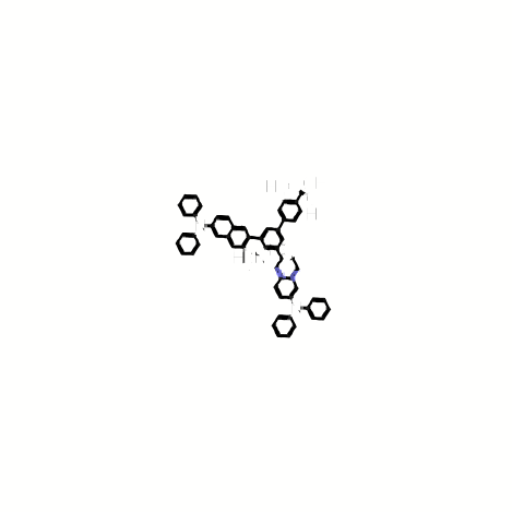 C#C/C=c1/cc(N(c2ccccc2)c2ccccc2)cc/c1=C/Cc1cc(-c2ccc(C(C)(C)C)cc2)cc(-c2cc3ccc(N(c4ccccc4)c4ccccc4)cc3cc2Br)c1N